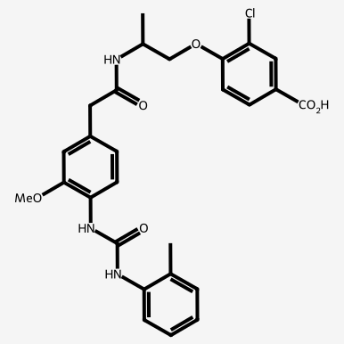 COc1cc(CC(=O)NC(C)COc2ccc(C(=O)O)cc2Cl)ccc1NC(=O)Nc1ccccc1C